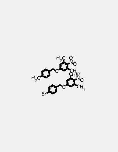 Cc1cc(OCc2ccc(Br)cc2)cc(C)c1[N+](=O)[O-].Cc1ccc(COc2cc(C)c([N+](=O)[O-])c(C)c2)cc1